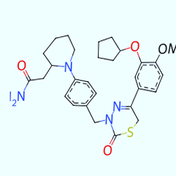 COc1ccc(C2=NN(Cc3ccc(N4CCCCC4CC(N)=O)cc3)C(=O)SC2)cc1OC1CCCC1